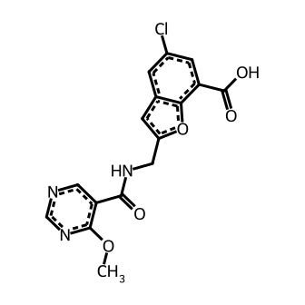 COc1ncncc1C(=O)NCc1cc2cc(Cl)cc(C(=O)O)c2o1